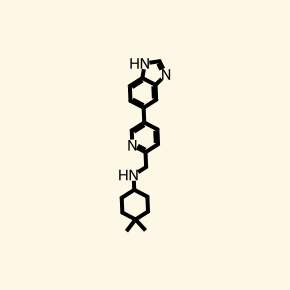 CC1(C)CCC(NCc2ccc(-c3ccc4[nH]cnc4c3)cn2)CC1